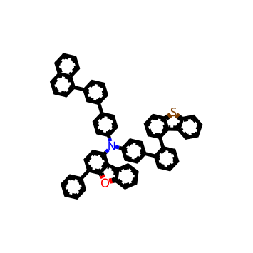 c1ccc(-c2ccc(N(c3ccc(-c4cccc(-c5cccc6ccccc56)c4)cc3)c3ccc(-c4ccccc4-c4cccc5sc6ccccc6c45)cc3)c3c2oc2ccccc23)cc1